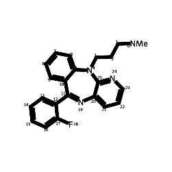 CNCCCN1c2ccccc2C(c2ccccc2F)=Nc2cccnc21